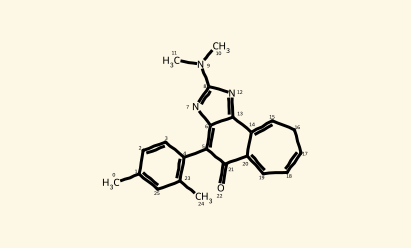 Cc1ccc(C2=C3N=C(N(C)C)N=C3C3=CCC=CC=C3C2=O)c(C)c1